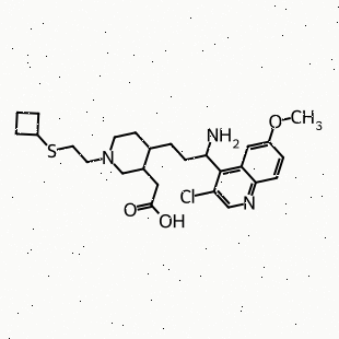 COc1ccc2ncc(Cl)c(C(N)CCC3CCN(CCSC4CCC4)CC3CC(=O)O)c2c1